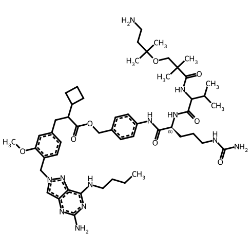 CCCCNc1nc(N)nc2cn(Cc3ccc(CC(C(=O)OCc4ccc(NC(=O)[C@H](CCCNC(N)=O)NC(=O)C(NC(=O)C(C)(C)COC(C)(C)CCN)C(C)C)cc4)C4CCC4)cc3OC)nc12